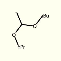 [CH2]C(OCCC)OC(C)CC